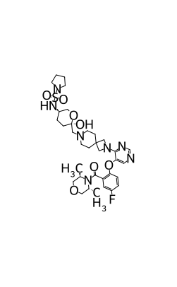 C[C@@H]1COC[C@@H](C)N1C(=O)c1cc(F)ccc1Oc1cncnc1N1CC2(CCN(C[C@@]3(O)CC[C@@H](NS(=O)(=O)N4CCCC4)CO3)CC2)C1